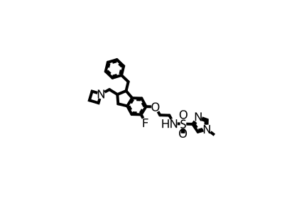 Cn1cnc(S(=O)(=O)NCCOc2cc3c(cc2F)CC(CN2CCC2)C3Cc2ccccc2)c1